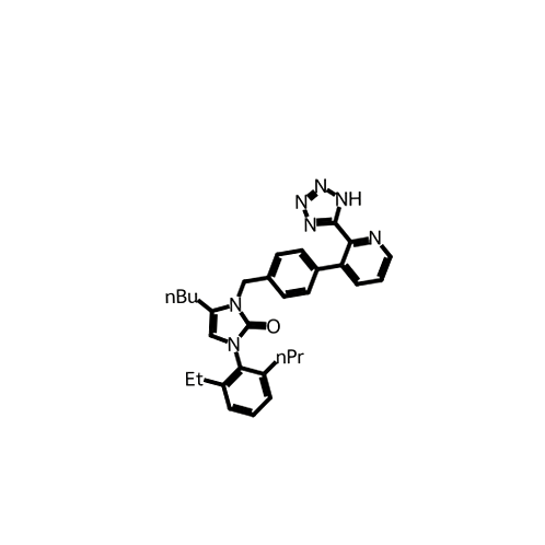 CCCCc1cn(-c2c(CC)cccc2CCC)c(=O)n1Cc1ccc(-c2cccnc2-c2nnn[nH]2)cc1